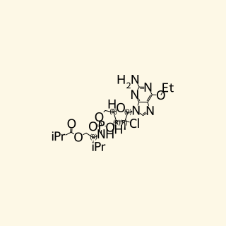 CCOc1nc(N)nc2c1ncn2[C@@H]1O[C@@H]2COP(=O)(N[C@@H](COC(=O)C(C)C)C(C)C)O[C@H]2[C@@]1(C)Cl